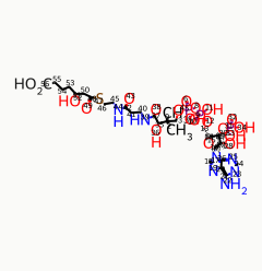 CC(C)(COP(=O)(O)OP(=O)(O)OC[C@H]1O[C@@H](n2cnc3c(N)ncnc32)[C@H](O)[C@@H]1OP(=O)(O)O)C(O)C(=O)NCCC(=O)NCCSC(=O)CC(O)CCCC(=O)O